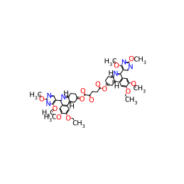 CCOc1cc2c(cc1OC)C(c1cnc(OC)nc1OC)=N[C@@H]1CC[C@@H](OC(=O)CCC(=O)C(=O)O[C@@H]3CC[C@H]4N=C(c5cnc(OC)nc5OC)c5cc(OC)c(OCC)cc5[C@H]4C3)C[C@H]21